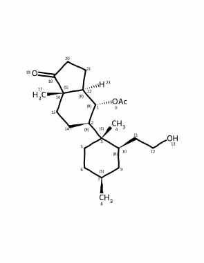 CC(=O)O[C@@H]1[C@@H]([C@@]2(C)CC[C@H](C)C[C@@H]2CCO)CC[C@]2(C)C(=O)CC[C@@H]12